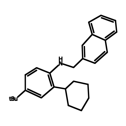 CC(C)(C)c1ccc(NCc2ccc3ccccc3c2)c(C2CCCCC2)c1